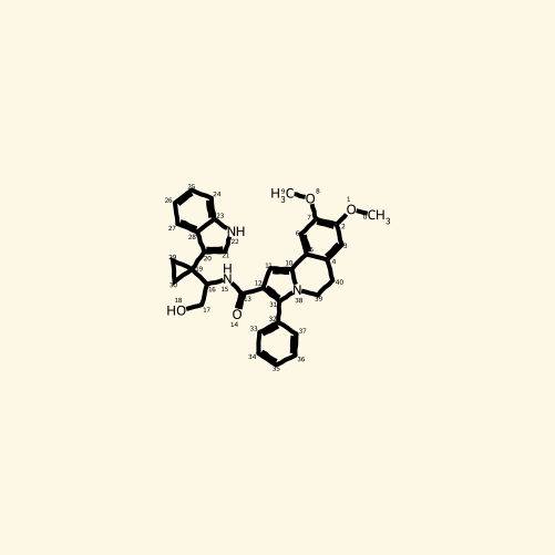 COc1cc2c(cc1OC)-c1cc(C(=O)NC(CO)C3(c4c[nH]c5ccccc45)CC3)c(-c3ccccc3)n1CC2